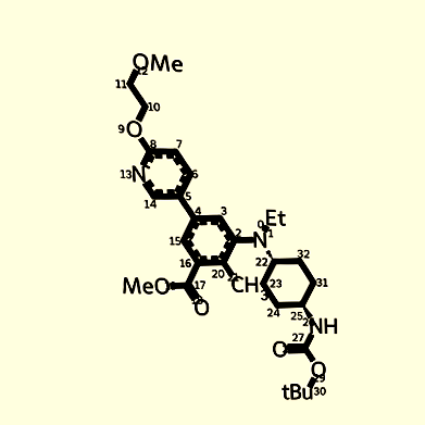 CCN(c1cc(-c2ccc(OCCOC)nc2)cc(C(=O)OC)c1C)[C@H]1CC[C@H](NC(=O)OC(C)(C)C)CC1